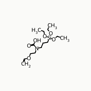 C=COCCN(CCC[Si](OCC)(OCC)OCC)C(=O)O